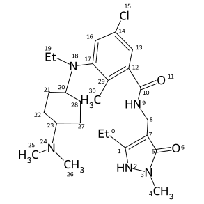 CCc1[nH]n(C)c(=O)c1CNC(=O)c1cc(Cl)cc(N(CC)C2CCC(N(C)C)CC2)c1C